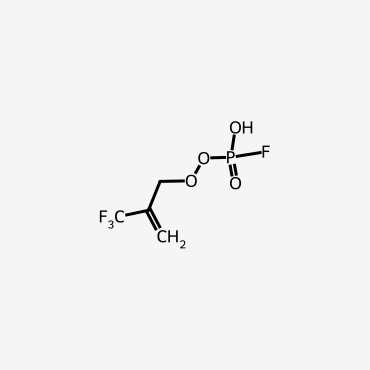 C=C(COOP(=O)(O)F)C(F)(F)F